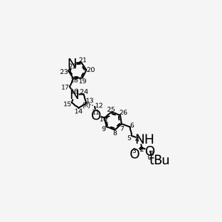 CC(C)(C)OC(=O)NCCc1ccc(OC[C@@H]2CCN(Cc3cccnc3)C2)cc1